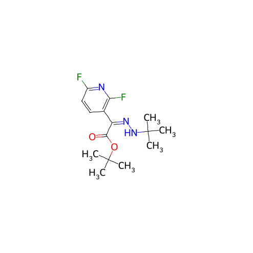 CC(C)(C)NN=C(C(=O)OC(C)(C)C)c1ccc(F)nc1F